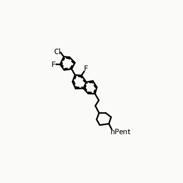 CCCCCC1CCC(CCc2ccc3c(F)c(-c4ccc(Cl)c(F)c4)ccc3c2)CC1